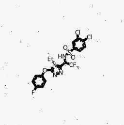 CCn1c(Oc2ccc(F)cc2)nnc1C(NS(=O)(=O)c1ccc(Cl)c(Cl)c1)C(F)(F)F